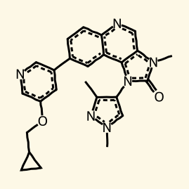 Cc1nn(C)cc1-n1c(=O)n(C)c2cnc3ccc(-c4cncc(OCC5CC5)c4)cc3c21